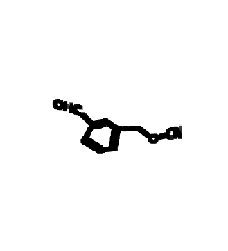 N#COCc1cccc(C=O)c1